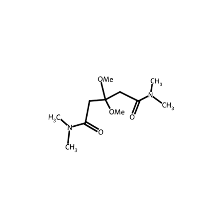 COC(CC(=O)N(C)C)(CC(=O)N(C)C)OC